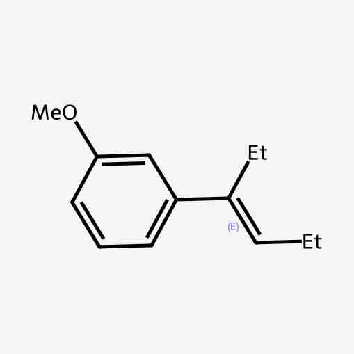 CC/C=C(\CC)c1cccc(OC)c1